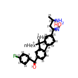 CCCCCCC1(CCCCCC)c2cc(C(=O)c3ccc(F)cc3)ccc2-c2ccc(/C(CC(C)N)=N/O)cc21